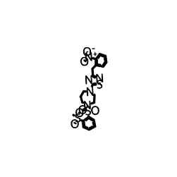 CS(=O)(=O)c1ccccc1S(=O)(=O)N1CCCN(c2nc(Cc3ccccc3[N+](=O)[O-])ns2)CC1